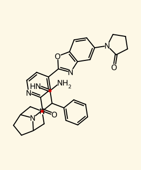 N=C(N)C(c1ccccc1)N1CC2CCC(C1)N2C(=O)c1cc(-c2nc3cc(N4CCCC4=O)ccc3o2)ccn1